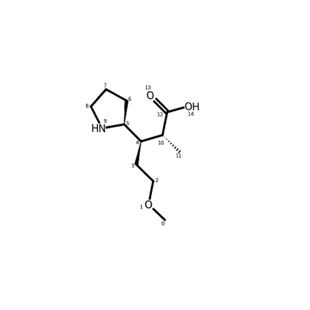 COCC[C@@H]([C@@H]1CCCN1)[C@@H](C)C(=O)O